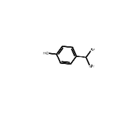 CCCC(C(C)=O)c1ccc(O)cc1